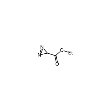 CCOC(=O)C1N=N1